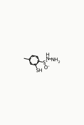 Cc1ccc([S+]([O-])NN)c(S)c1